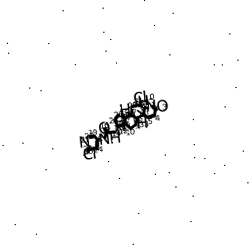 CN1C(=O)C=C[C@]2(C)[C@H]3CC[C@]4(C)[C@@H](CC(=O)Nc5ccnc(Cl)c5)CC[C@H]4[C@@H]3CC(Cl)[C@@H]12